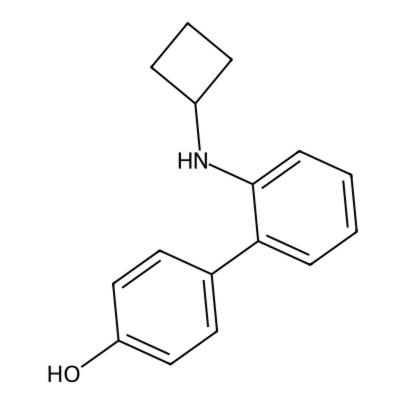 Oc1ccc(-c2ccccc2NC2CCC2)cc1